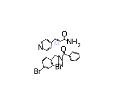 NC(=O)/C=C/c1ccncc1.O=C(NCc1ccc(Br)cc1Br)c1ccccc1